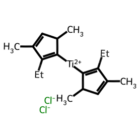 CCC1=[C]([Ti+2][C]2=C(CC)C(C)=CC2C)C(C)C=C1C.[Cl-].[Cl-]